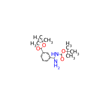 CC(C)(C)OC(=O)NC(N)c1cccc(C(=O)OC(C)(C)C)c1